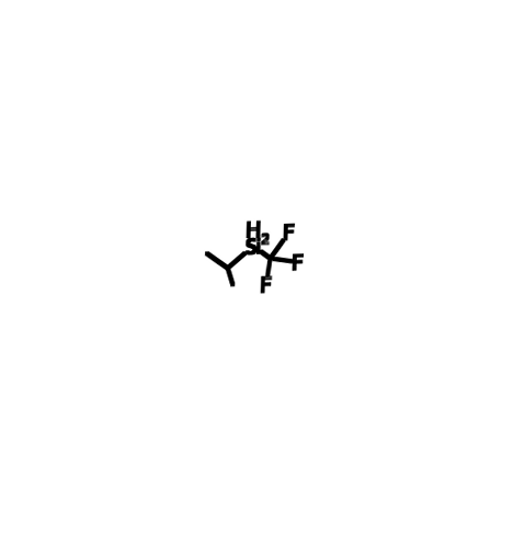 CC(C)[SiH2]C(F)(F)F